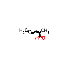 C=C=CC=C(C)C(=O)O